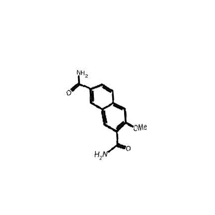 COc1cc2ccc(C(N)=O)cc2cc1C(N)=O